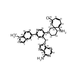 Cn1ncc2cc(-c3cc(Cn4cnc5c(N)ncnc54)c(N4CCCC5(C4)N=C(Cl)C=CC=C5N)cn3)ccc21